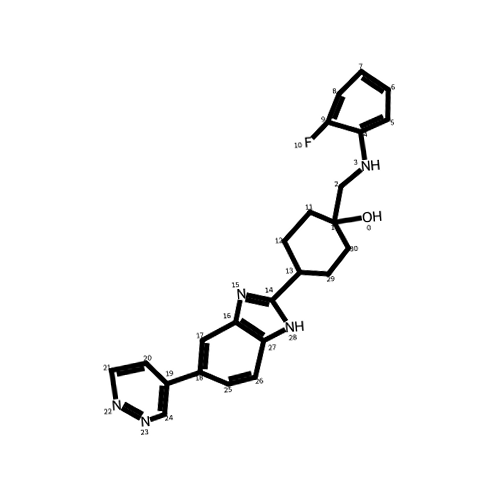 OC1(CNc2ccccc2F)CCC(c2nc3cc(-c4ccnnc4)ccc3[nH]2)CC1